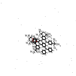 CC(C)(C)c1ccc(N2c3cc4c(cc3B3c5oc6cc7c(cc6c5N(c5ccc(C(C)(C)C)cc5-c5ccccc5)c5cc(N(c6ccccc6)c6ccccc6)cc2c53)C(C)(C)CCC7(C)C)C(C)(C)CCC4(C)C)cc1